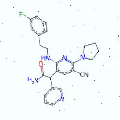 N#Cc1cc(C(C(N)=O)c2cccnc2)c(NCCc2cccc(F)c2)nc1N1CCCC1